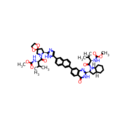 COC(=O)N[C@H](C(=O)N1CC2(C[C@H]1c1ncc(-c3ccc4cc(-c5ccc6c(=O)[nH]c([C@@H]7C[C@@H]8CCCC[C@@H]8N7C(=O)[C@@H](NC(=O)OC)C(C)C)nc6c5)ccc4c3)[nH]1)OCCO2)C(C)C